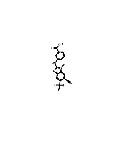 Cn1c(Nc2cccc(C(=O)O)c2)nc2cc(C(F)(F)F)c(C#N)cc21